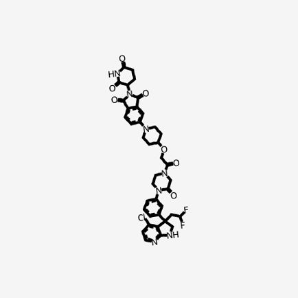 O=C1CCC(N2C(=O)c3ccc(N4CCC(OCC(=O)N5CCN(c6cccc(C7(CC(F)F)CNc8nccc(Cl)c87)c6)C(=O)C5)CC4)cc3C2=O)C(=O)N1